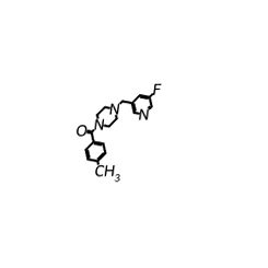 Cc1ccc(C(=O)N2CCN(Cc3cncc(F)c3)CC2)cc1